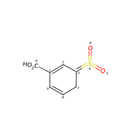 O=C(O)C1=CC(=S(=O)=O)CC=C1